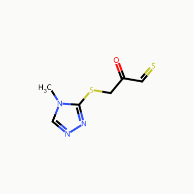 Cn1cnnc1SCC(=O)C=S